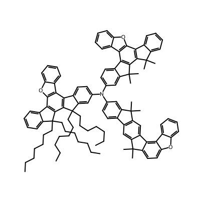 CCCCCCCC1(CCCCCCC)c2ccccc2-c2c1c1c(c3c2oc2ccccc23)-c2ccc(N(c3ccc4c(c3)C(C)(C)c3cc5c(cc3-4)C(C)(C)c3ccc4oc6ccccc6c4c3-5)c3ccc4c(c3)C(C)(C)c3c5c(c6oc7ccccc7c6c3-4)-c3ccccc3C5(C)C)cc2C1(CCCCCCC)CCCCCCC